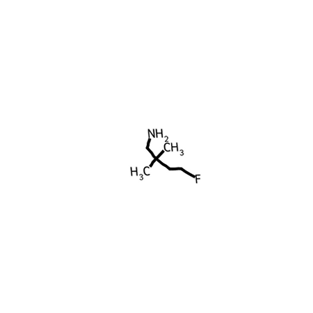 CC(C)(CN)CCF